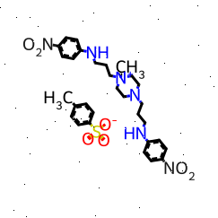 C[N+]1(CCCNc2ccc([N+](=O)[O-])cc2)CCN(CCCNc2ccc([N+](=O)[O-])cc2)CC1.Cc1ccc(S(=O)(=O)[O-])cc1